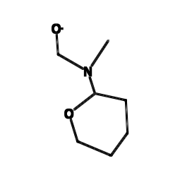 CN(C[O])C1CCCCO1